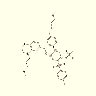 COCCCN1CCOc2ccc(CO[C@H]3CN(S(=O)(=O)c4ccc(C)cc4)[C@@H](OS(C)(=O)=O)C[C@@H]3c3ccc(COCCOC)cc3)cc21